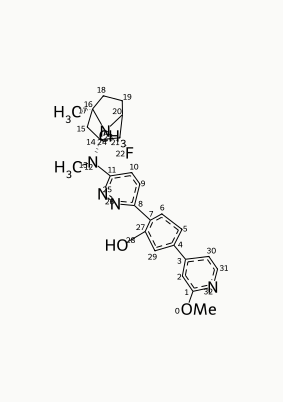 COc1cc(-c2ccc(-c3ccc(N(C)[C@@H]4C[C@@]5(C)CCC([C@@H]4F)N5C)nn3)c(O)c2)ccn1